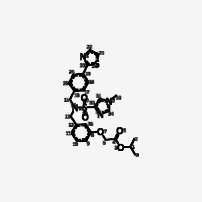 CC(C)OC(=O)COc1cccc(CN(Cc2ccc(-c3nccs3)cc2)S(=O)(=O)c2cn(C)cn2)c1